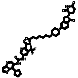 O=C1CCC(N2Cc3cc(N4CCN(CCCCCCc5nc(-c6ncc(NC(=O)Nc7cnc8ccnn8c7C7CCCC7)cc6C(F)(F)F)no5)CC4)ccc3C2=O)C(=O)N1